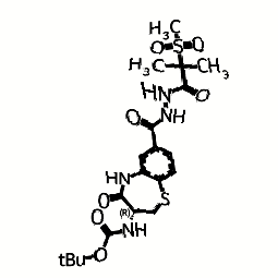 CC(C)(C)OC(=O)N[C@H]1CSc2ccc(C(=O)NNC(=O)C(C)(C)S(C)(=O)=O)cc2NC1=O